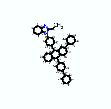 CCc1nc2ccccc2n1-c1ccc(-c2c3ccccc3c(-c3ccc(-c4ccccc4)cc3)c3ccc(-c4ccccc4)cc23)cc1